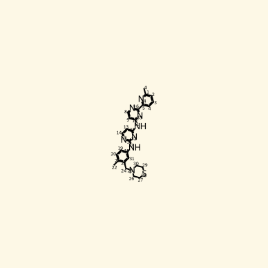 Cc1cccc(-c2nccc(Nc3ccnc(Nc4ccc(C)c(CN5CCSCC5)c4)n3)n2)n1